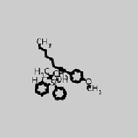 CC(C)(C)[Si](O)(c1ccccc1)c1ccccc1.CCCCCCC#Cc1ccc(OC)cc1